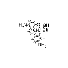 C=C(/C=C\c1cc(OCC(O)CF)ccc1N)C1=CNC(N)C=C1